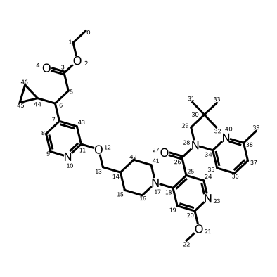 CCOC(=O)CC(c1ccnc(OCC2CCN(c3cc(OC)ncc3C(=O)N(CC(C)(C)C)c3cccc(C)n3)CC2)c1)C1CC1